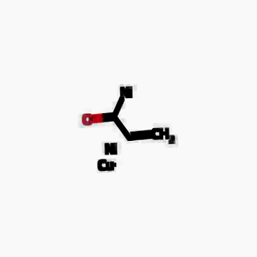 C=C[C](=O)[Ni].[Cu].[Ni]